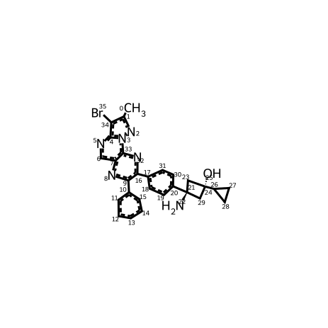 Cc1nn2c(ncc3nc(-c4ccccc4)c(-c4ccc([C@]5(N)C[C@@](O)(C6CC6)C5)cc4)nc32)c1Br